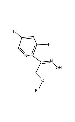 CCOCC(=NO)c1ncc(F)cc1F